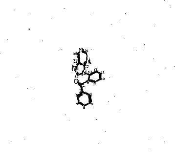 O=C(c1ccccc1)c1ccccc1-n1cnc2cncnc21